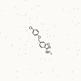 Nc1noc2cc(COc3ccc(Cl)cc3)ccc12